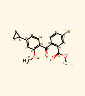 COC(=O)c1cc(Br)ccc1C(=O)c1ccc(C2CC2)cc1OC